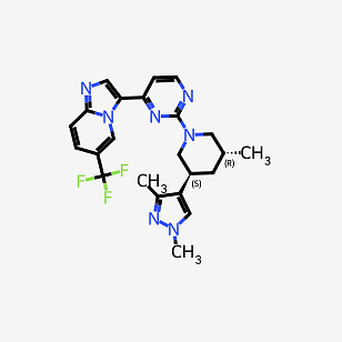 Cc1nn(C)cc1[C@@H]1C[C@@H](C)CN(c2nccc(-c3cnc4ccc(C(F)(F)F)cn34)n2)C1